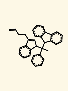 C=CCCC1=CC(C(C)(c2ccccc2)C2c3ccccc3-c3ccccc32)c2ccccc21